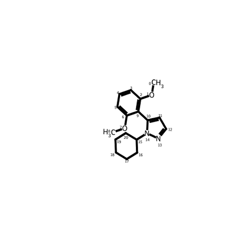 COc1cccc(OC)c1-c1ccnn1C1CCCCC1